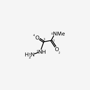 CNC(=O)C(=O)NN